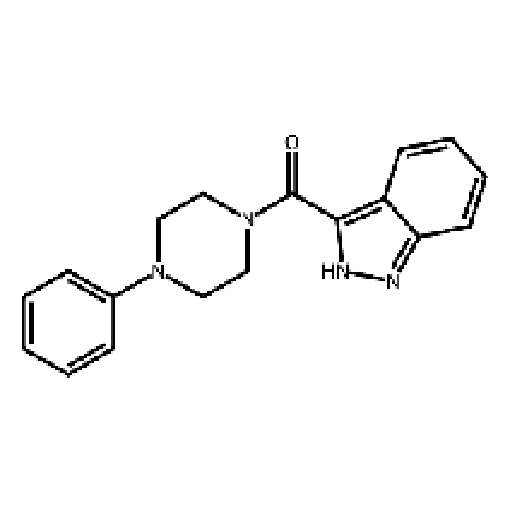 O=C(c1[nH]nc2ccccc12)N1CCN(c2ccccc2)CC1